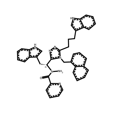 NN(C(=O)c1ccccn1)[C@H](Cc1c[nH]c2ccccc12)c1nnc(CCCc2c[nH]c3ccccc23)n1Cc1cccc2ccccc12